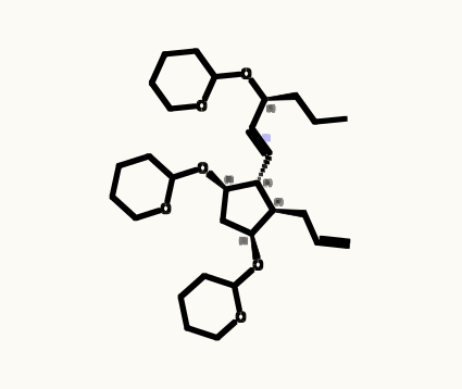 C=CC[C@@H]1[C@@H](/C=C/[C@H](CCC)OC2CCCCO2)[C@H](OC2CCCCO2)C[C@@H]1OC1CCCCO1